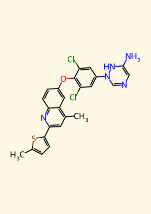 Cc1ccc(-c2cc(C)c3cc(Oc4c(Cl)cc(N5C=NC=C(N)N5)cc4Cl)ccc3n2)s1